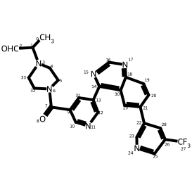 CC(C=O)N1CCN(C(=O)c2cncc(-c3ncnc4ccc(-c5cncc(C(F)(F)F)c5)cc34)c2)CC1